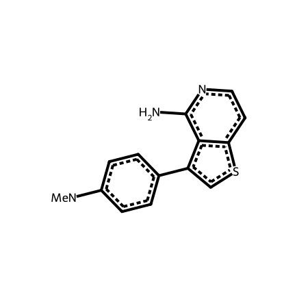 CNc1ccc(-c2csc3ccnc(N)c23)cc1